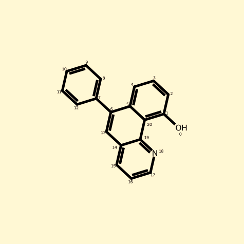 Oc1cccc2c(-c3ccccc3)cc3cccnc3c12